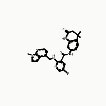 Cn1ccc2c(CNc3ncc(F)cc3C(=O)Nc3ccc4c(c3)NC(=O)CC4(C)C)ccnc21